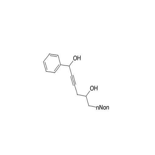 CCCCCCCCCCC(O)CC#CC(O)c1ccccc1